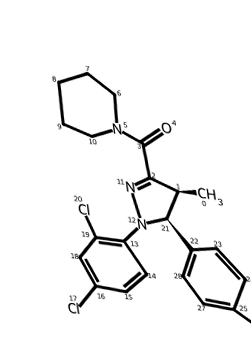 C[C@@H]1C(C(=O)N2CCCCC2)=NN(c2ccc(Cl)cc2Cl)[C@@H]1c1ccc(Cl)cc1